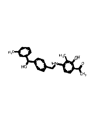 CC(=O)c1ccc(NCc2ccc(C(O)c3cccc(C)c3)cc2)c(C)c1O